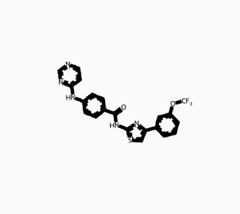 O=C(Nc1nc(-c2cccc(OC(F)(F)F)c2)cs1)c1ccc(Nc2ccncn2)cc1